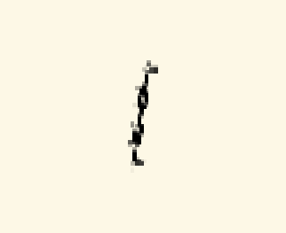 CCCC#CC#CO